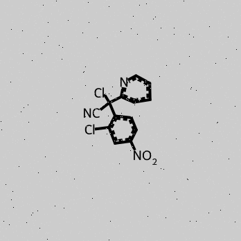 N#CC(Cl)(c1ccccn1)c1ccc([N+](=O)[O-])cc1Cl